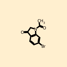 CC(=O)N1CC(=O)c2ccc(Br)cc21